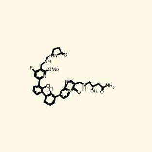 COc1nc(-c2cccc(-c3cccc(-c4ccn5c(=O)c(CNC[C@H](O)CC(N)=O)cnc5c4)c3Cl)c2Cl)cc(F)c1CNC[C@H]1CCC(=O)N1